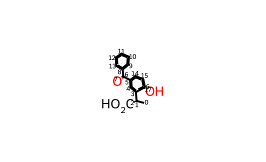 C[C@@H](C(=O)O)c1cc(C(=O)c2ccccc2)ccc1O